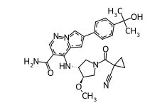 CO[C@@H]1CN(C(=O)C2(C#N)CC2)C[C@H]1Nc1c(C(N)=O)cnn2cc(-c3ccc(C(C)(C)O)cc3)cc12